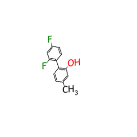 Cc1ccc(-c2ccc(F)cc2F)c(O)c1